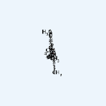 CCCCCCCCCCCCCCCCC(Oc1ccc(OCCCCCCCCCCCCCC)c(Cl)c1)C(=O)NCc1cccc[n+]1CC.[I-]